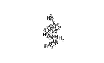 CC(C)c1ccn2nc(N)c(C(=O)NC(C)c3nc4cccc(C#Cc5cncs5)c4c(=O)n3-c3ccccc3)c2n1